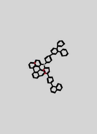 c1ccc(-c2ccc(-c3ccc(N(c4ccc(-c5ccc(-c6cccc7ccccc67)cc5)cc4)c4ccccc4-c4cccc5cccc(-c6ccccc6)c45)cc3)cc2-c2ccccc2)cc1